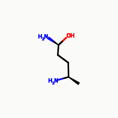 C[C@@H](N)CC[C@@H](N)O